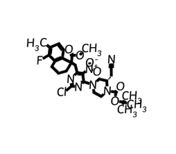 COC(=O)C1(Cc2nc(Cl)nc(N3CCN(C(=O)OC(C)(C)C)[C@@H](CC#N)C3)c2[N+](=O)[O-])CCCc2c1ccc(C)c2F